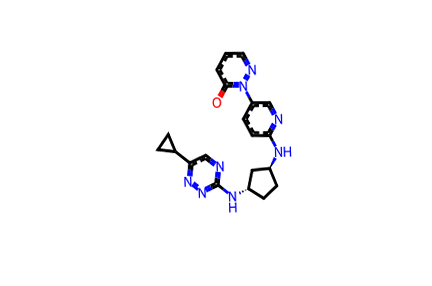 O=c1cccnn1-c1ccc(N[C@H]2CC[C@H](Nc3ncc(C4CC4)nn3)C2)nc1